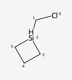 ClC[SiH]1CCC1